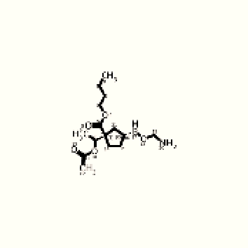 CCCCOC(=O)[C@@]1(C(C)OC(C)=O)CC[C@@H](BOCN)C1